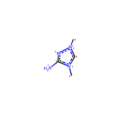 Cn1c[n+](C)nc1N